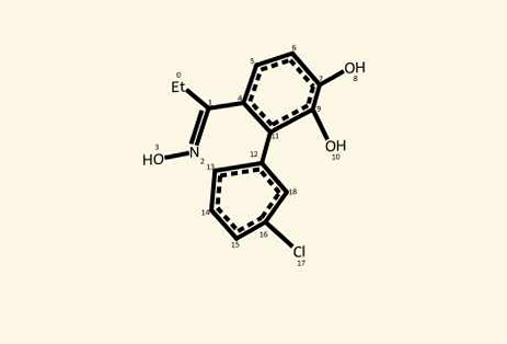 CCC(=NO)c1ccc(O)c(O)c1-c1cccc(Cl)c1